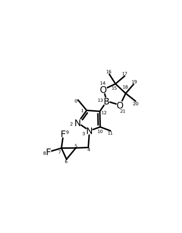 Cc1nn(CC2CC2(F)F)c(C)c1B1OC(C)(C)C(C)(C)O1